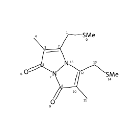 CSCc1c(C)c(=O)n2c(=O)c(C)c(CSC)n12